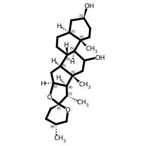 C[C@@H]1CC[C@@]2(OC1)O[C@H]1C[C@H]3[C@@H]4CC[C@H]5C[C@@H](O)CC[C@]5(C)[C@H]4C(O)C[C@]3(C)[C@H]1[C@@H]2C